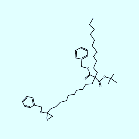 CCCCCCCCCCCC(CCCCCCCCCCC1(OCc2ccccc2)CO1)(C(=O)OCc1ccccc1)C(=O)OC(C)(C)C